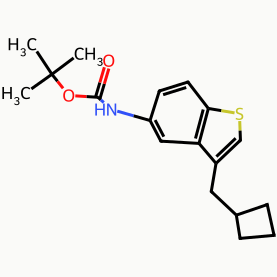 CC(C)(C)OC(=O)Nc1ccc2scc(CC3CCC3)c2c1